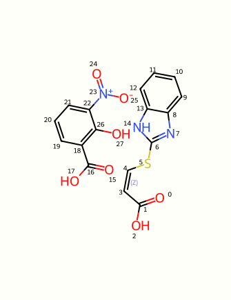 O=C(O)/C=C\Sc1nc2ccccc2[nH]1.O=C(O)c1cccc([N+](=O)[O-])c1O